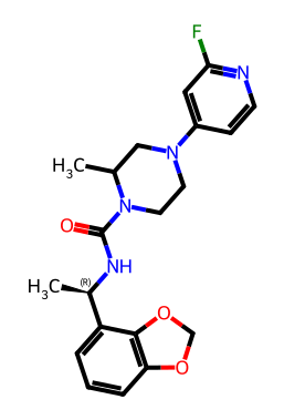 CC1CN(c2ccnc(F)c2)CCN1C(=O)N[C@H](C)c1cccc2c1OCO2